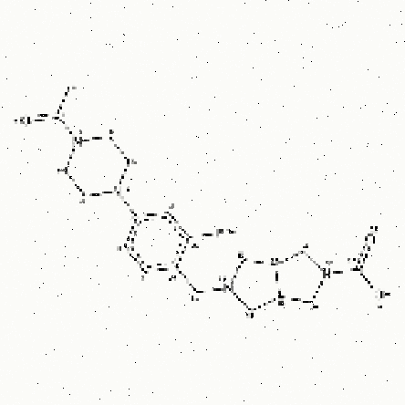 CC(=O)N1CCN(c2ccc(CN3CC4CN(C(=O)O)CC4C3)c(F)c2)CC1